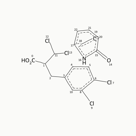 O=C(O)C(Cc1ccc(Cl)c(Cl)c1)C(Cl)Cl.O=c1[nH]c2ccc1cc2